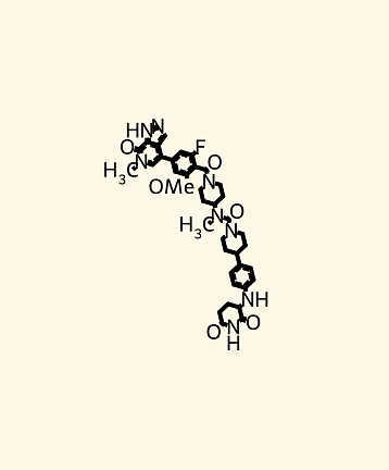 COc1cc(-c2cn(C)c(=O)c3[nH]ncc23)cc(F)c1C(=O)N1CCC(N(C)C(=O)N2CCC(c3ccc(NC4CCC(=O)NC4=O)cc3)CC2)CC1